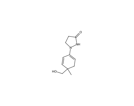 CC1(CO)C=CC(N2CCC(=O)N2)=CC1